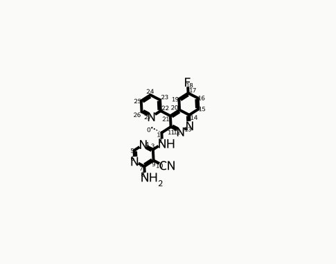 C[C@@H](Nc1ncnc(N)c1C#N)c1nnc2ccc(F)cc2c1-c1ccccn1